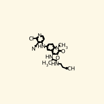 C#CCCNC(=O)C(C)Nc1cc(=O)n(C)c2ccc(Nc3ccnc(Cl)c3C#N)cc12